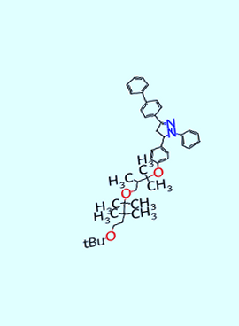 CC(COC(C)(C)C(C)(C)CCOC(C)(C)C)C(C)(C)Oc1ccc(C2CC(c3ccc(-c4ccccc4)cc3)=NN2c2ccccc2)cc1